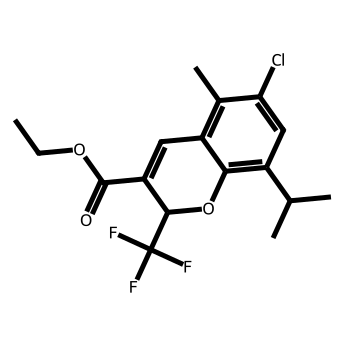 CCOC(=O)C1=Cc2c(C)c(Cl)cc(C(C)C)c2OC1C(F)(F)F